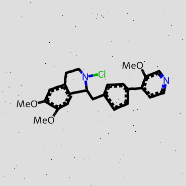 COc1cc2c(cc1OC)C(Cc1ccc(-c3ccncc3OC)cc1)N(Cl)CC2